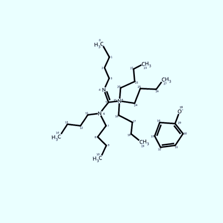 CCCCN=C(N(CCCC)CCCC)[N+](CCCC)(CCCC)CCCC.[O-]c1ccccc1